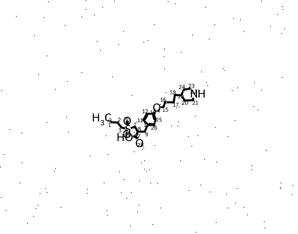 CCCCS(=O)(=O)CC(Cc1ccc(OCCCCC2CCNCC2)cc1)C(=O)O